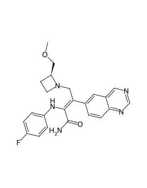 COC[C@@H]1CCN1C/C(=C(\Nc1ccc(F)cc1)C(N)=O)c1ccc2ncncc2c1